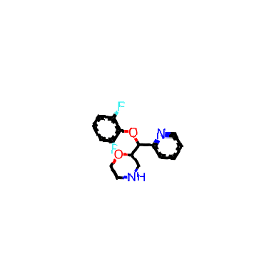 Fc1cccc(F)c1OC(c1ccccn1)C1CNCCO1